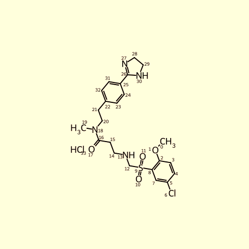 COc1ccc(Cl)cc1S(=O)(=O)CNCCC(=O)N(C)CCc1ccc(C2=NCCN2)cc1.Cl